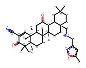 Cc1cc(CNC[C@]23CCC(C)(C)CC2C2C(=O)C[C@@H]4[C@@]5(C)C=C(C#N)C(=O)C(C)(C)[C@@H]5CC[C@@]4(C)[C@]2(C)CC3)no1